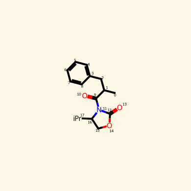 CC(Cc1ccccc1)C(=O)N1C(=O)OCC1C(C)C